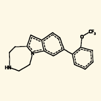 FC(F)(F)Oc1ccccc1-c1ccc2cc3n(c2c1)CCNCC3